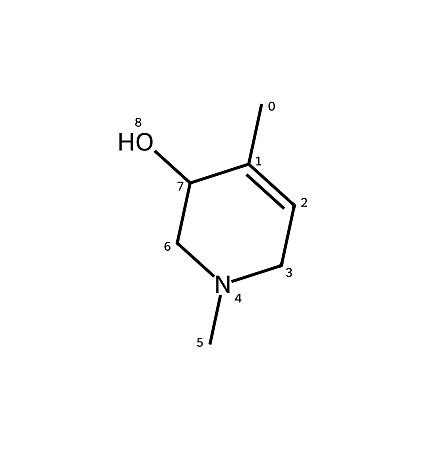 CC1=CCN(C)CC1O